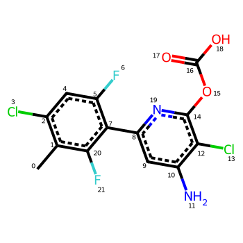 Cc1c(Cl)cc(F)c(-c2cc(N)c(Cl)c(OC(=O)O)n2)c1F